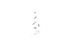 COC(=O)C=Cc1ccc(NN)cc1